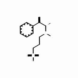 C[C@H](C(=O)c1ccccc1)N(C)CCCS(=O)(=O)O